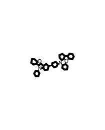 c1ccc(N(c2ccc(-c3ccc4c(c3)c3oc5ccccc5c3n4-c3ccccc3)cc2)c2cccc3c2oc2ccccc23)cc1